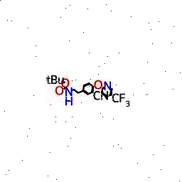 CC(C)(C)OC(=O)NCCc1ccc(Oc2ccc(C(F)(F)F)cn2)c(C#N)c1